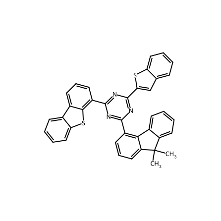 CC1(C)c2ccccc2-c2c(-c3nc(-c4cc5ccccc5s4)nc(-c4cccc5c4sc4ccccc45)n3)cccc21